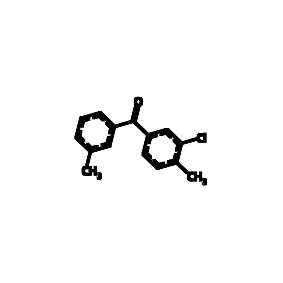 Cc1cccc(C(=O)c2ccc(C)c(Cl)c2)c1